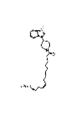 CCCCC/C=C\C/C=C\CCCCCCCC(=O)N1CCC(c2c[nH]c3ccccc23)CC1